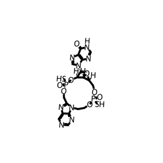 O=c1[nH]cnc2c1ncn2[C@@H]1O[C@@H]2COP(=O)(S)OCCn3c(nc4cncnc43)COP(=O)(S)O[C@@H]1[C@@H]2F